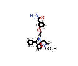 CCC1CC(N(CCCOc2cccc(CC(N)=O)c2)CC(c2ccccc2)c2ccccc2)CCN1C(=O)O